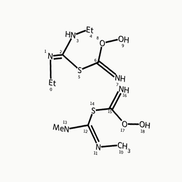 CCN=C(NCC)SC(=N)OO.CN=C(NC)SC(=N)OO